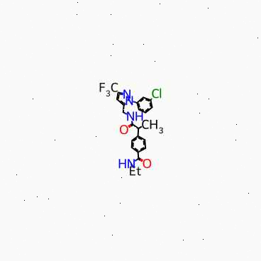 CCNC(=O)c1ccc(C(C)C(=O)NCc2cc(C(F)(F)F)nn2-c2cccc(Cl)c2)cc1